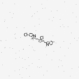 Cc1ccc2c(c1)C/C(=C\C=C1/CCC(/C=C/C3N(C)c4ccc(Cl)cc4C3(C)C)=C1Cl)N2C